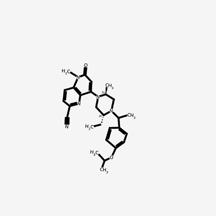 CC[C@@H]1CN(c2cc(=O)n(C)c3ccc(C#N)nc23)[C@@H](C)CN1C(C)c1ccc(OC(C)C)cc1